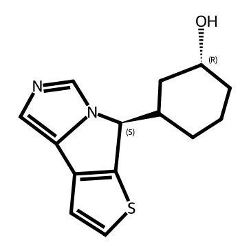 O[C@@H]1CCCC([C@H]2c3sccc3-c3cncn32)C1